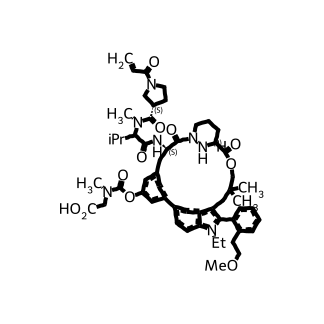 C=CC(=O)N1CC[C@H](C(=O)N(C)C(C(=O)N[C@H]2Cc3cc(OC(=O)N(C)CC(=O)O)cc(c3)-c3ccc4c(c3)c(c(-c3ccccc3CCOC)n4CC)CC(C)(C)COC(=O)[C@@H]3CCCN(N3)C2=O)C(C)C)C1